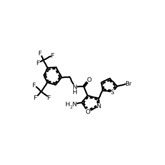 Nc1onc(-c2ccc(Br)s2)c1C(=O)NCc1cc(C(F)(F)F)cc(C(F)(F)F)c1